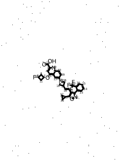 O=C(O)c1cc(O[C@H]2C[C@@H](F)C2)c2cc(N3CC(/C=C/c4c(-c5ccccc5C(F)(F)F)noc4C4CC4)C3)ccc2n1